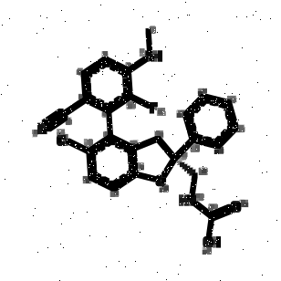 CNc1ccc(C#N)c(-c2c(Cl)ccc3c2C[C@@](CNC(=O)O)(c2ccccc2)O3)c1F